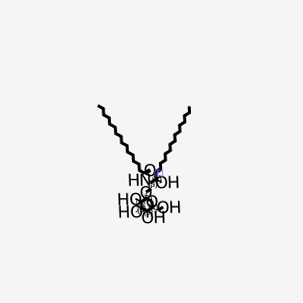 CCCCCCCCCCCCC/C=C/[C@@H](O)[C@H](CO[C@@H]1O[C@H](CO)[C@@H](O)[C@H](O)[C@H]1O)NC(=O)CCCCCCCCCCCCCCC